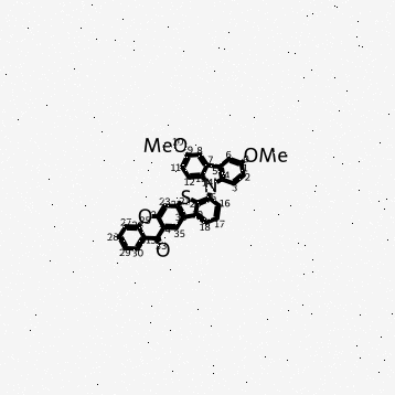 COc1ccc2c(c1)c1cc(OC)ccc1n2-c1cccc2c1sc1cc3oc4ccccc4c(=O)c3cc12